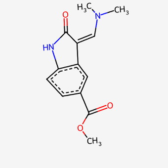 COC(=O)c1ccc2c(c1)C(=CN(C)C)C(=O)N2